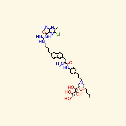 CCCCCCN(CCCc1ccc(NC(=O)[C@@H](N)Cc2ccc3cc(CCCCNC(=N)NC(=O)c4nc(Cl)c(C)nc4N)ccc3c2)cc1)C[C@H](O)[C@@H](O)[C@H](O)[C@H](O)CO